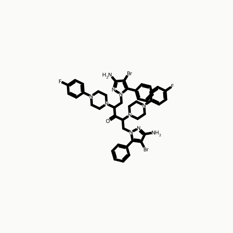 Nc1nn(CC(C(=O)C(Cn2nc(N)c(Br)c2-c2ccccc2)N2CCN(c3ccc(F)cc3)CC2)N2CCN(c3ccc(F)cc3)CC2)c(-c2ccccc2)c1Br